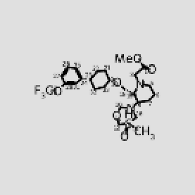 COC(=O)CN1CCCC(N2COC[SH](C)(=O)C2)[C@@H]1CO[C@H]1CC[C@@H](c2cccc(OC(F)(F)F)c2)CC1